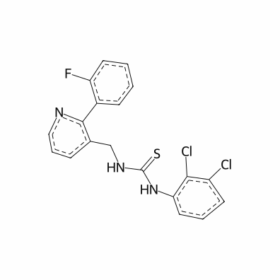 Fc1ccccc1-c1ncccc1CNC(=S)Nc1cccc(Cl)c1Cl